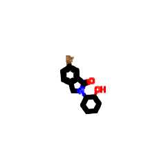 O=C1c2cc(Br)ccc2CN1[C@@H]1CCCC[C@H]1O